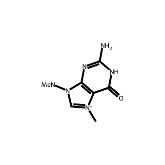 CNn1c[n+](C)c2c(=O)[nH]c(N)nc21